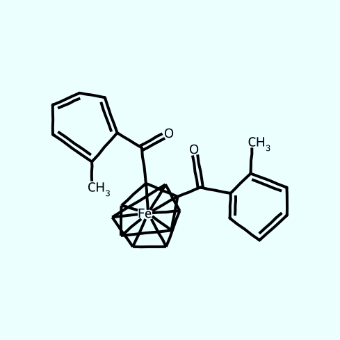 Cc1ccccc1C(=O)[C]12[CH]3[CH]4[CH]5[C]1(C(=O)c1ccccc1C)[Fe]43521678[CH]2[CH]1[CH]6[CH]7[CH]28